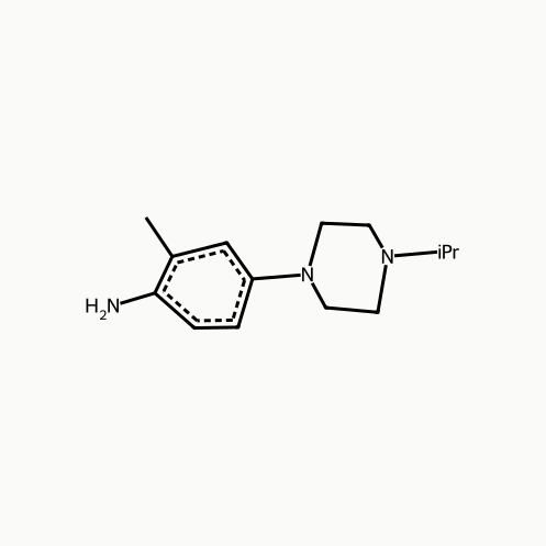 Cc1cc(N2CCN(C(C)C)CC2)ccc1N